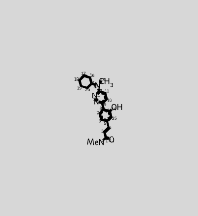 CNC(=O)/C=C/c1ccc(-c2ccc(N(C)C3CCCCC3)nn2)c(O)c1